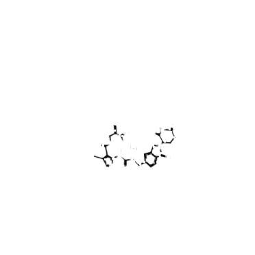 C=C(COC(=O)c1c(C)csc1NC(=O)NCc1ccc2c(c1)CN(C1CCC(=O)NC1=O)C2=O)C(=O)OC(C)(C)C